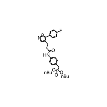 CCCCOP(=O)(Cc1ccc(NC(=O)CCc2cnoc2-c2ccc(F)cc2)cc1)OCCCC